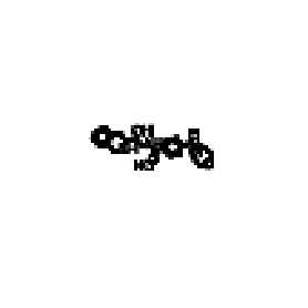 Cl.O=C(NCC(O)C1Cc2ccccc2CN1)c1ccc(C(=O)N2C3CCC2COC3)cc1